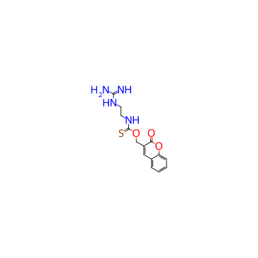 N=C(N)NCCNC(=S)OCc1cc2ccccc2oc1=O